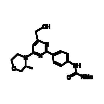 CNC(=O)Nc1ccc(-c2nc(CO)cc(N3CCOC[C@@H]3C)n2)cc1